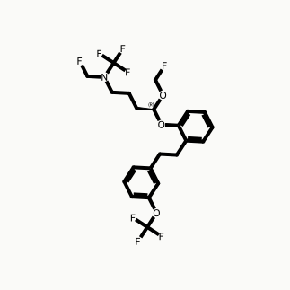 FCO[C@H](CCCN(CF)C(F)(F)F)Oc1ccccc1CCc1cccc(OC(F)(F)F)c1